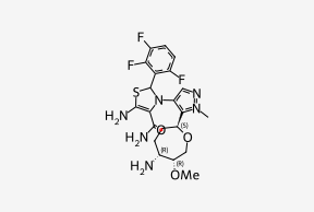 CO[C@H]1CO[C@H](c2c(N3C(C(N)=O)=C(N)SC3c3c(F)ccc(F)c3F)cnn2C)CC[C@H]1N